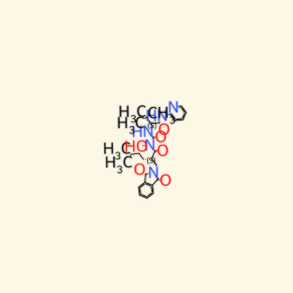 CC(C)CC[C@@H](CN1C(=O)c2ccccc2C1=O)C(=O)N(O)C(=O)N[C@H](C(=O)Nc1ccccn1)C(C)(C)C